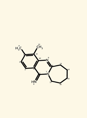 Cc1ccc2c(=N)n3c(nc2c1C)CCCCC3